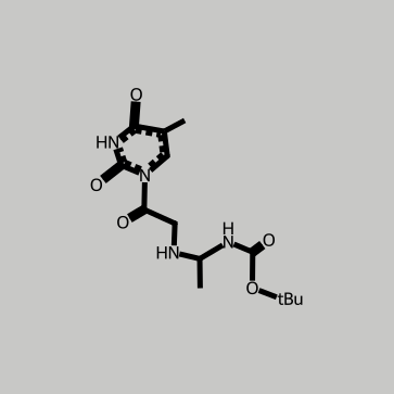 Cc1cn(C(=O)CNC(C)NC(=O)OC(C)(C)C)c(=O)[nH]c1=O